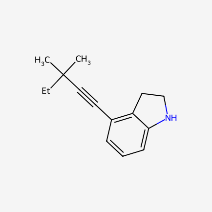 CCC(C)(C)C#Cc1cccc2c1CCN2